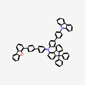 c1ccc(C2(c3ccccc3)c3ccccc3-c3c(N(c4ccc(-c5ccc(-c6cccc7c6oc6ccccc67)cc5)cc4)c4ccc(-c5ccc(-n6c7ccccc7c7ccccc76)cc5)cc4)cccc32)cc1